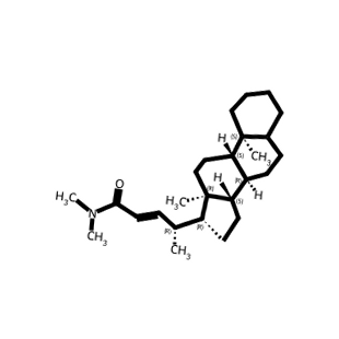 C[C@H](C=CC(=O)N(C)C)[C@H]1CC[C@H]2[C@@H]3CCC4CCCC[C@]4(C)[C@H]3CC[C@]12C